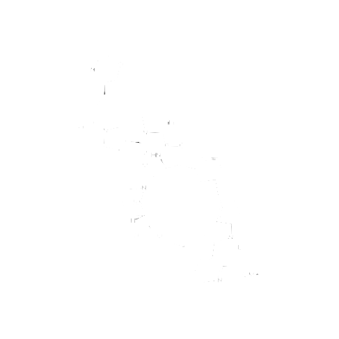 CCn1c(-c2cccnc2[C@H](C)OC)c2c3cc(ccc31)-c1cccc(c1)C[C@H](NC(=O)C(C(C)C)N(C)C(=O)[C@H]1CCN(C(=O)C#C[C@@H]3COCCN3C)C1)C(=O)N1CCC[C@H](N1)C(=O)OCC(C)(C)C2